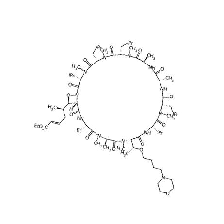 CCOC(=O)/C=C/C[C@@H](C)[C@H]1ON2C(=O)[C@H](C(C)C)N(C)C(=O)[C@H](CC(C)C)N(C)C(=O)[C@H](CC(C)C)N(C)C(=O)[C@@H](C)NC(=O)[C@H](C)NC(=O)[C@H](CC(C)C)N(C)C(=O)[C@H](C(C)C)NC(=O)[C@H]([C@@H](C)OCCCCN3CCOCC3)N(C)C(=O)[C@@H](C)N(C)C(=O)[C@H](CC)NC(=O)[C@H]12